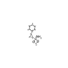 NC1(C2CC2c2ccccc2)OCO1